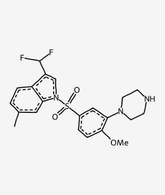 COc1ccc(S(=O)(=O)n2cc(C(F)F)c3ccc(C)cc32)cc1N1CCNCC1